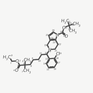 CCOC(=O)C(C)(C)CCCCC(c1ccccc1Cl)N1CCc2c(ccn2C(=O)OC(C)(C)C)C1